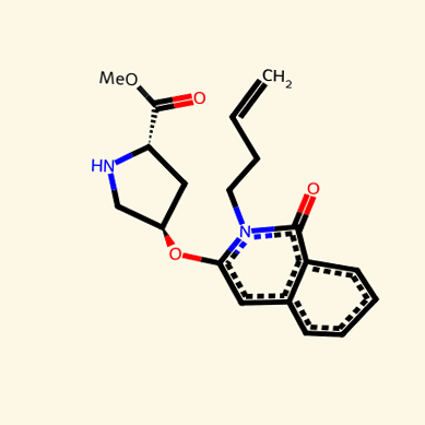 C=CCCn1c(O[C@H]2CN[C@H](C(=O)OC)C2)cc2ccccc2c1=O